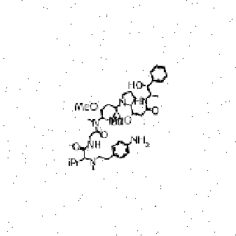 CC[C@H](C)C([C@@H](CC(=O)N1CCC[C@H]1[C@H](OC)[C@@H](C)C(=O)N[C@H](C)[C@@H](O)c1ccccc1)OC)N(C)C(=O)CNC(=O)C(C(C)C)N(C)CCc1ccc(N)cc1